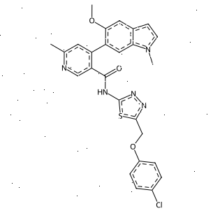 COc1cc2ccn(C)c2cc1-c1cc(C)ncc1C(=O)Nc1nnc(COc2ccc(Cl)cc2)s1